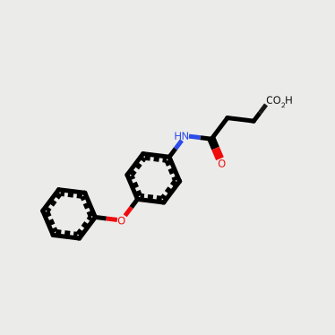 O=C(O)CCC(=O)Nc1ccc(Oc2ccccc2)cc1